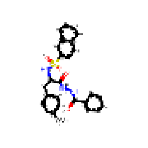 COc1ccc(CC(NS(=O)(=O)c2ccc3ccccc3c2)C(=O)NNC(=O)c2ccccc2)cc1